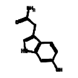 NC(=O)Cc1c[nH]c2cc(O)ccc12